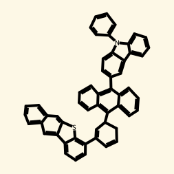 C1=CC(c2cccc3c2sc2cc4ccccc4cc23)=CC(c2c3ccccc3c(-c3ccc4c(c3)c3ccccc3n4-c3ccccc3)c3ccccc23)C1